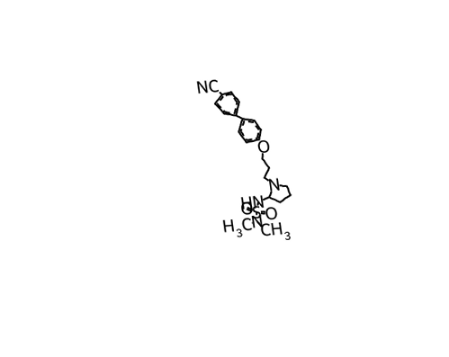 CN(C)S(=O)(=O)NC1CCCN1CCCOc1ccc(-c2ccc(C#N)cc2)cc1